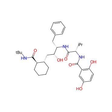 CC(C)[C@H](NC(=O)c1cc(O)ccc1O)C(=O)N[C@@H](Cc1ccccc1)[C@H](O)C[C@@H]1CCCC[C@H]1C(=O)NC(C)(C)C